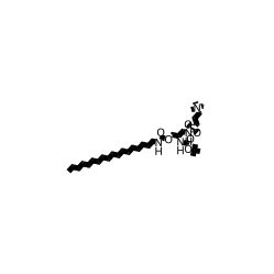 CCCCCCCCCCCCCCCCCCNC(=O)OCC(CNS(=O)(=O)CCC[N+](C)(C)C)NC(=O)OC(C)(C)C